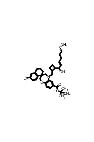 CC(C)(C)OC(=O)c1ccc2c(c1)N(CC1CCC1C(O)/C=C/CCCSN)CC1(CCCc3cc(Cl)ccc31)CO2